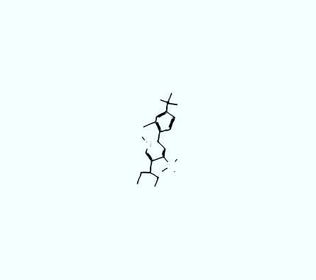 CCC(CC)c1c[n+](C)c(-c2ccc(C(C)(C)C)cc2C)cc1[Si](C)(C)C